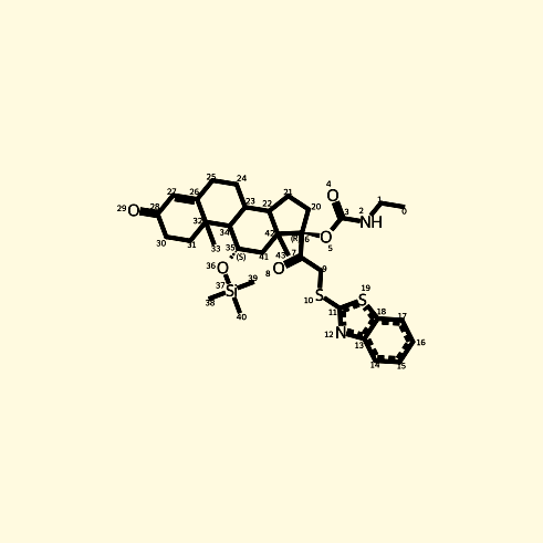 CCNC(=O)O[C@]1(C(=O)CSc2nc3ccccc3s2)CCC2C3CCC4=CC(=O)CCC4(C)C3[C@@H](O[Si](C)(C)C)CC21C